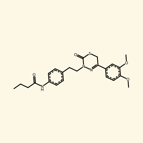 CCCC(=O)Nc1ccc(CCN2N=C(c3ccc(OC)c(OC)c3)CSC2=O)cc1